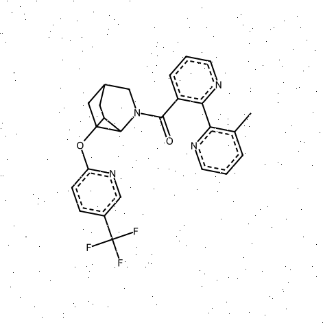 Cc1cccnc1-c1ncccc1C(=O)N1CC2CCC1C(Oc1ccc(C(F)(F)F)cn1)C2